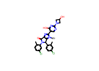 Cc1cc(Cl)ccc1C1c2c(nc(-c3cnc(N4CC(O)C4)nc3O)n2C(C)C)C(=O)N1c1cc(Cl)ccc1C